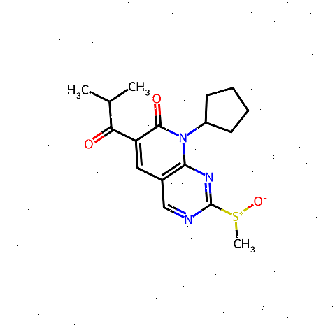 CC(C)C(=O)c1cc2cnc([S+](C)[O-])nc2n(C2CCCC2)c1=O